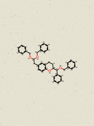 c1ccc(COC(Cc2ccc3c(c2)CCC(C(OCc2ccccc2)c2ccccc2)O3)OCc2ccccc2)cc1